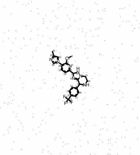 COc1nc(C2N=C3C(c4ccc(C(F)(F)F)cc4)NCCN3N2)ccc1-n1cnc(C)c1